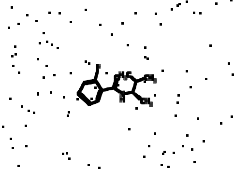 CC(C)[C@@H](C)NC(=O)c1ccccc1F